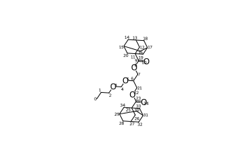 CCCOCOC(COC(=O)C12CC3CC(CC(C3)C1)C2)COC(=O)C12CC3CC(CC(C3)C1)C2